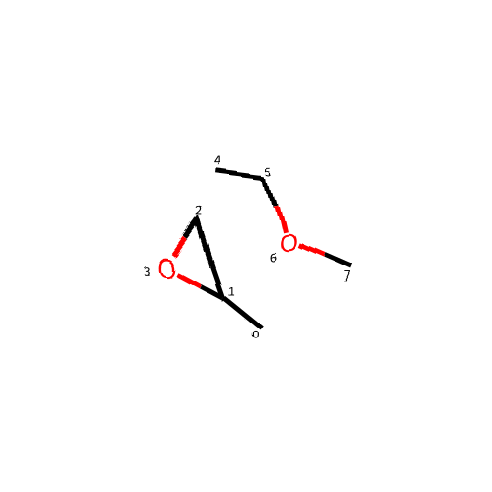 CC1CO1.CCOC